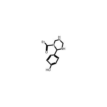 CCC(=O)N1CNCNC1c1ccc(O)cc1